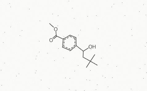 COC(=O)c1ccc(C(O)CC(C)(C)C)cc1